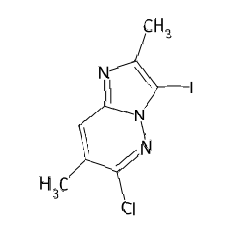 Cc1cc2nc(C)c(I)n2nc1Cl